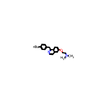 CCCCc1ccc(Cc2nccc3cc(OCCN(C)C)ccc23)cc1